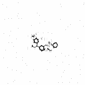 COc1cc(C(CC(=O)O)c2ccc(C)c(CN3C(C)COc4ccccc4S3(=O)=O)c2)cc2nnn(C)c12